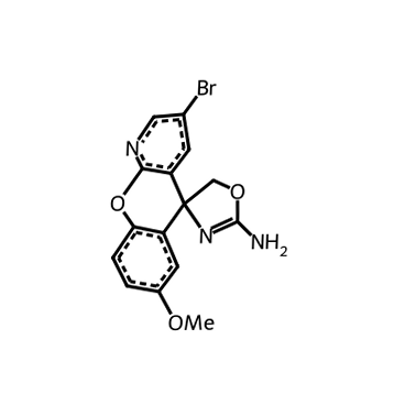 COc1ccc2c(c1)C1(COC(N)=N1)c1cc(Br)cnc1O2